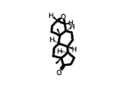 C[C@@]12CC[C@@H]3O[C@@H]3[C@H]1CC[C@H]1[C@H]2CC[C@@]2(C)C(=O)CC[C@H]12